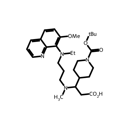 CCN(CCCN(C)C(CC(=O)O)C1CCN(C(=O)OC(C)(C)C)CC1)c1c(OC)ccc2cccnc12